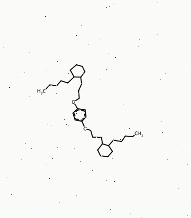 CCCCCC1CCCCC1CCCOc1ccc(OCCCC2CCCCC2CCCCC)cc1